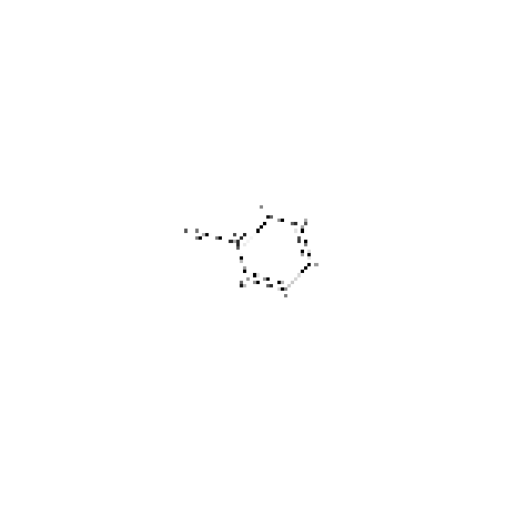 [S]c1c[c]ccc1